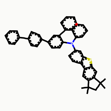 CC1(C)CC(C)(C)c2cc3c(cc21)sc1cc(N(c2ccccc2)c2ccc(-c4ccc(-c5ccccc5)cc4)cc2-c2ccccc2)ccc13